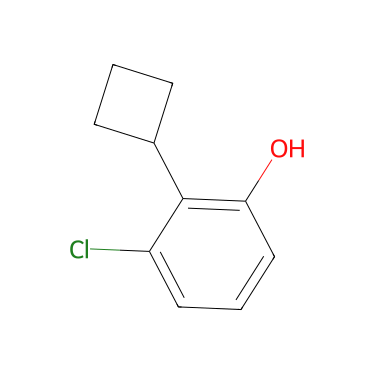 Oc1cccc(Cl)c1C1CCC1